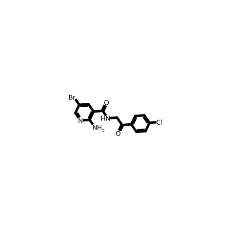 Nc1ncc(Br)cc1C(=O)NCC(=O)c1ccc(Cl)cc1